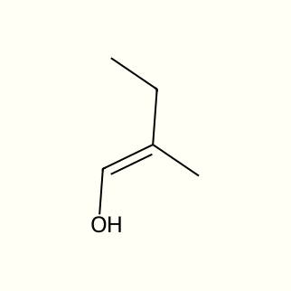 CCC(C)=CO